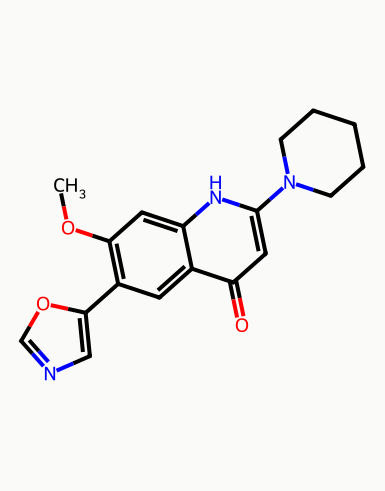 COc1cc2[nH]c(N3CCCCC3)cc(=O)c2cc1-c1cnco1